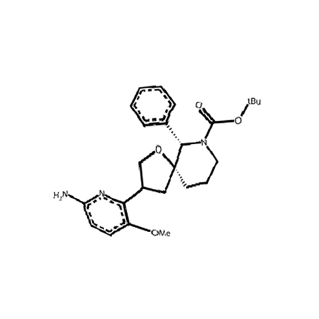 COc1ccc(N)nc1C1CO[C@]2(CCCN(C(=O)OC(C)(C)C)[C@H]2c2ccccc2)C1